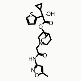 Cc1cc(NC(=O)C[N+]23CCC(CC2)C(OC(=O)[C@@](O)(c2cccs2)C2CC2)C3)no1